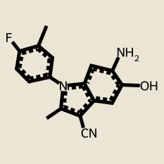 Cc1cc(-n2c(C)c(C#N)c3cc(O)c(N)cc32)ccc1F